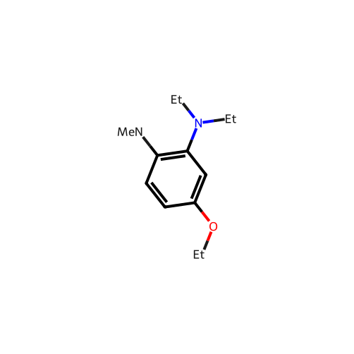 CCOc1ccc(NC)c(N(CC)CC)c1